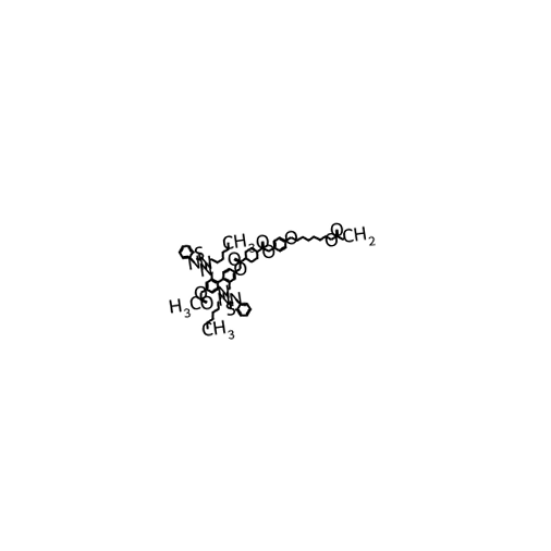 C=CC(=O)OCCCCCCOc1ccc(OC(=O)C2CCC(C(=O)Oc3ccc(-c4ccc(OC(C)=O)cc4/C=N/N(CCCCCC)c4nc5ccccc5s4)c(/C=N/N(CCCCCC)c4nc5ccccc5s4)c3)CC2)cc1